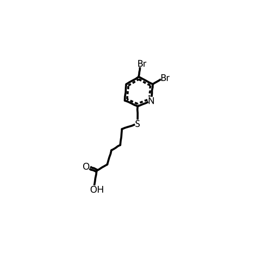 O=C(O)CCCCSc1ccc(Br)c(Br)n1